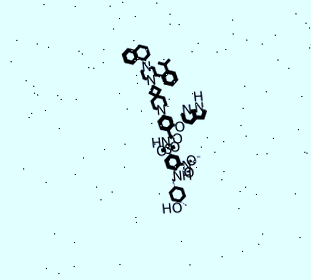 CC(C)c1ccccc1C1CN(C2CCCc3ccccc32)CCN1C1CC2(CCN(c3ccc(C(=O)NS(=O)(=O)c4ccc(NC[C@H]5CC[C@](C)(O)CC5)c([N+](=O)[O-])c4)c(Oc4cnc5[nH]ccc5c4)c3)CC2)C1